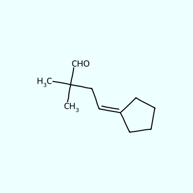 CC(C)(C=O)CC=C1CCCC1